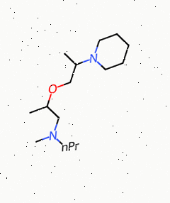 CCCN(C)CC(C)OCC(C)N1CCCCC1